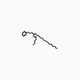 CCCCCCCCCCCCCn1cc(CCCc2ccccc2)nc1CCCC